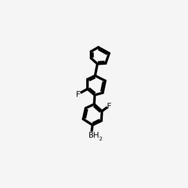 Bc1ccc(-c2ccc(-c3ccccc3)cc2F)c(F)c1